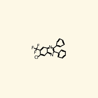 FC(F)(F)c1cc2nc(-c3ccccc3)c(-c3ccccc3)nc2cc1Cl